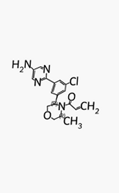 C=CC(=O)N1[C@H](C)COC[C@H]1c1cc(Cl)cc(-c2ncc(N)cn2)c1